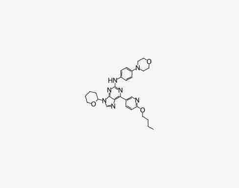 CCCCOc1ccc(-c2nc(Nc3ccc(N4CCOCC4)cc3)nc3c2ncn3C2CCCCO2)cn1